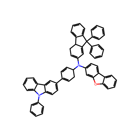 C1=CC(N(C2=CCC3C(=C2)C(c2ccccc2)(c2ccccc2)c2ccccc23)c2ccc3c(c2)oc2ccccc23)CC=C1c1ccc2c(c1)c1ccccc1n2-c1ccccc1